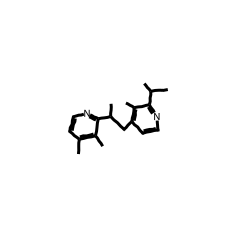 Cc1ccnc(C(C)Cc2ccnc(C(C)C)c2C)c1C